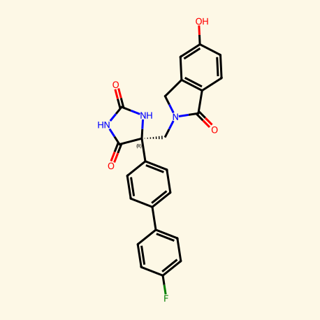 O=C1NC(=O)[C@](CN2Cc3cc(O)ccc3C2=O)(c2ccc(-c3ccc(F)cc3)cc2)N1